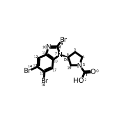 O=C(O)N1CC[C@H](n2c(Br)nc3cc(Br)c(Br)cc32)C1